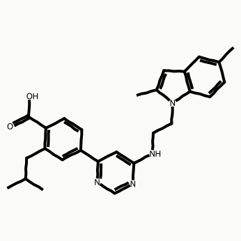 Cc1ccc2c(c1)cc(C)n2CCNc1cc(-c2ccc(C(=O)O)c(CC(C)C)c2)ncn1